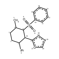 CC(C)C1CCC(C)C(S(=O)(=O)c2ccccc2)C1c1nnco1